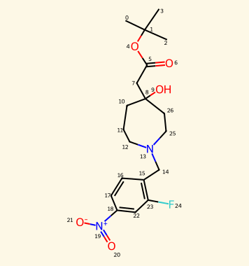 CC(C)(C)OC(=O)CC1(O)CCCN(Cc2ccc([N+](=O)[O-])cc2F)CC1